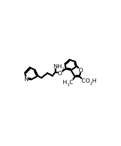 Cc1c(C(=O)O)oc2cccc(OC(N)CCCc3cccnc3)c12